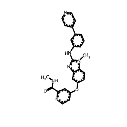 CNC(=O)c1cc(Oc2ccc3c(c2)nc(Nc2cccc(-c4ccncc4)c2)n3C)ccn1